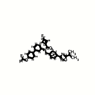 CC(C)c1nc(C23CCC(CN(C(=O)C45CC(F)(C4)C5)c4cccc(-c5ccc(OC(F)F)cc5)c4)(CC2)CC3)no1